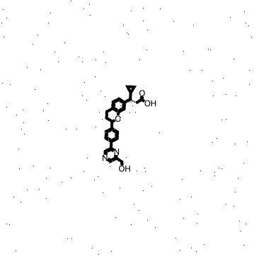 O=C(O)C[C@H](c1ccc2c(c1)OC(c1ccc(-c3cncc(CO)n3)cc1)CC2)C1CC1